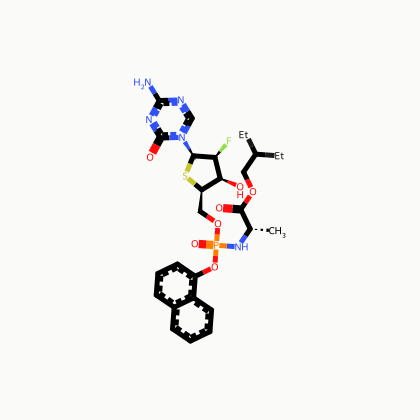 CCC(CC)COC(=O)[C@H](C)NP(=O)(OC[C@H]1S[C@@H](n2cnc(N)nc2=O)[C@@H](F)[C@H]1O)Oc1cccc2ccccc12